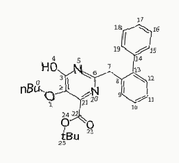 CCCCOc1c(O)nc(Cc2ccccc2-c2ccccc2)nc1C(=O)OC(C)(C)C